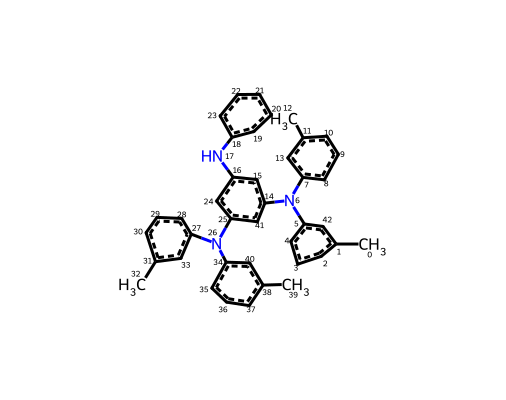 Cc1cccc(N(c2cccc(C)c2)c2cc(Nc3ccccc3)cc(N(c3cccc(C)c3)c3cccc(C)c3)c2)c1